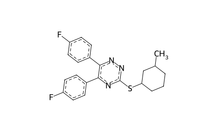 CC1CCCC(Sc2nnc(-c3ccc(F)cc3)c(-c3ccc(F)cc3)n2)C1